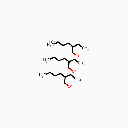 CCCCC(CC)C[O-].CCCCC(CC)C[O-].CCCCC(CC)C[O-].[In+3]